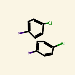 Brc1ccc(I)cc1.Clc1ccc(I)cc1